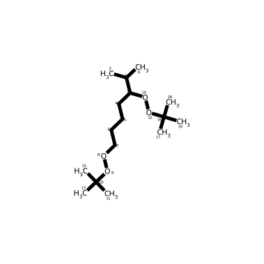 CC(C)C(CCCCOOC(C)(C)C)OOC(C)(C)C